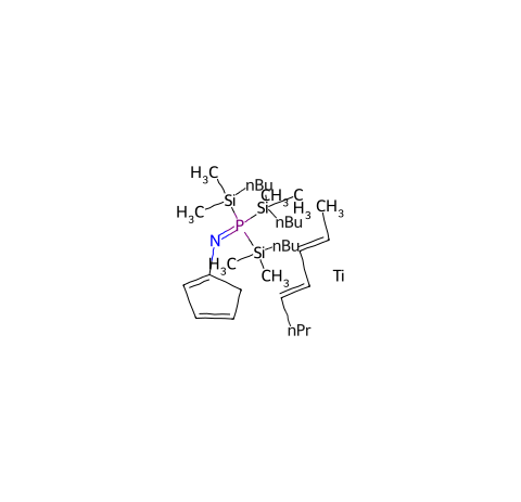 CC=CC=CCCC.CCCC[Si](C)(C)P(=NC1=CC=CC1)([Si](C)(C)CCCC)[Si](C)(C)CCCC.[Ti]